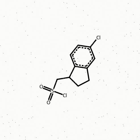 O=S(=O)(Cl)CC1CCc2cc(Cl)ccc21